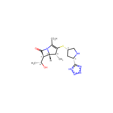 C[C@@H](O)[C@H]1C(=O)N2C(C(=O)O)=C(S[C@@H]3CN[C@H](c4nnn[nH]4)C3)[C@H](C)[C@H]12